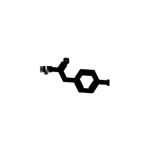 NC(=O)Cc1ccc(I)cc1